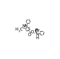 Cc1nn(-c2ccccc2)c2sc(C(=O)OCC(=O)Nc3ccccc3C(C)C)cc12